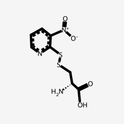 N[C@H](CSSc1ncccc1[N+](=O)[O-])C(=O)O